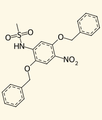 CS(=O)(=O)Nc1cc(OCc2ccccc2)c([N+](=O)[O-])cc1OCc1ccccc1